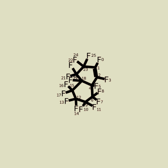 FC1=C(F)C2(F)C(F)(F)C(F)(F)C(F)(F)C(F)(F)C2(F)C(F)(F)C1(F)F